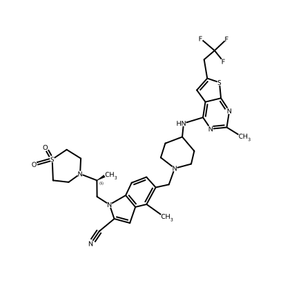 Cc1nc(NC2CCN(Cc3ccc4c(cc(C#N)n4C[C@H](C)N4CCS(=O)(=O)CC4)c3C)CC2)c2cc(CC(F)(F)F)sc2n1